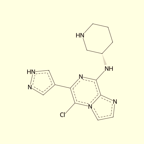 Clc1c(-c2cn[nH]c2)nc(N[C@H]2CCCNC2)c2nccn12